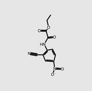 CCOC(=O)C(=O)Nc1ccc([N+](=O)[O-])cc1C#N